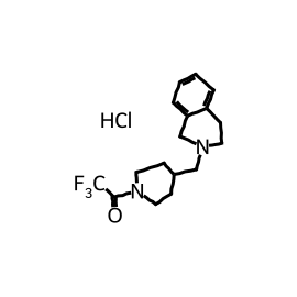 Cl.O=C(N1CCC(CN2CCc3ccccc3C2)CC1)C(F)(F)F